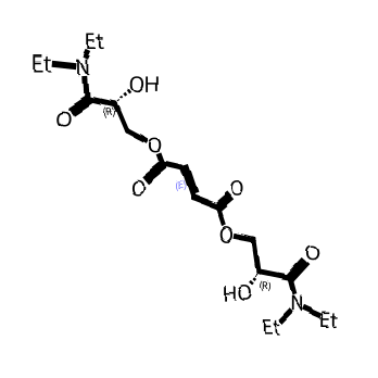 CCN(CC)C(=O)[C@H](O)COC(=O)/C=C/C(=O)OC[C@@H](O)C(=O)N(CC)CC